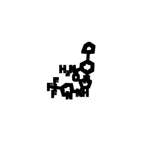 NC(=O)c1cc(-c2ccccc2)ccc1N1CCC(Nc2ccc(C(F)(F)F)cn2)C1